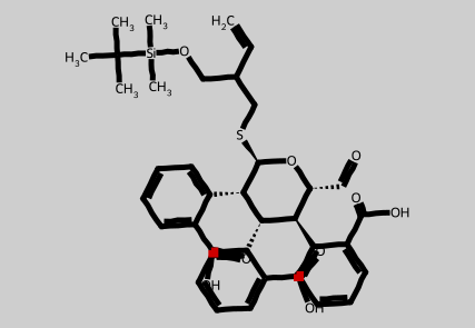 C=CC(CO[Si](C)(C)C(C)(C)C)CS[C@H]1O[C@H](C=O)[C@@H](c2ccccc2C(=O)O)[C@H](c2ccccc2C(=O)O)[C@@H]1c1ccccc1C(=O)O